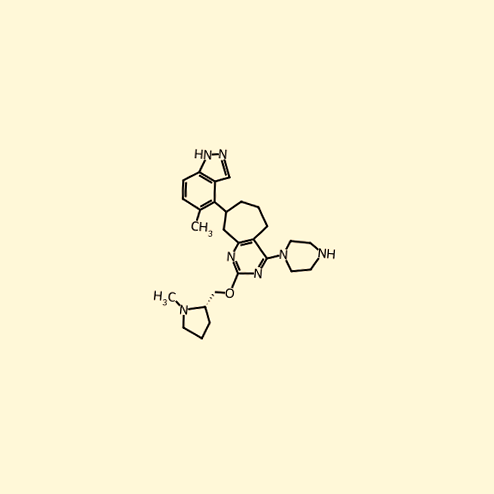 Cc1ccc2[nH]ncc2c1C1CCCc2c(nc(OC[C@@H]3CCCN3C)nc2N2CCNCC2)C1